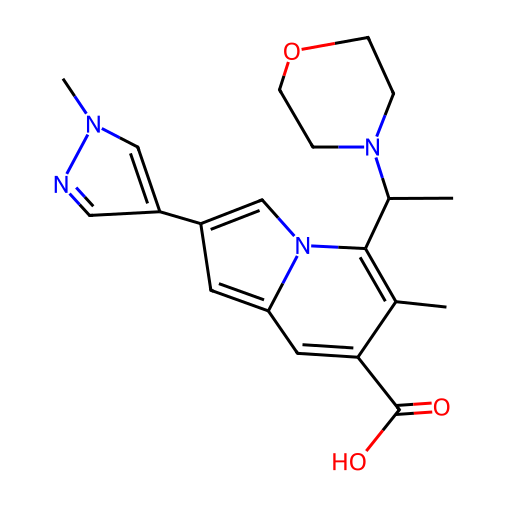 Cc1c(C(=O)O)cc2cc(-c3cnn(C)c3)cn2c1C(C)N1CCOCC1